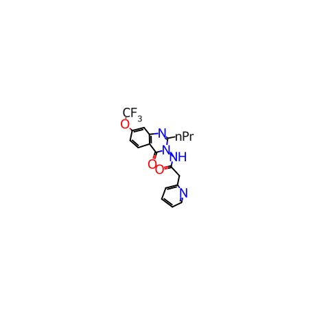 CCCc1nc2cc(OC(F)(F)F)ccc2c(=O)n1NC(=O)Cc1ccccn1